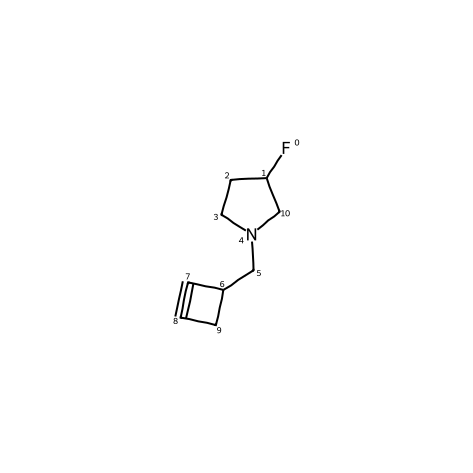 FC1CCN(CC2C#CC2)C1